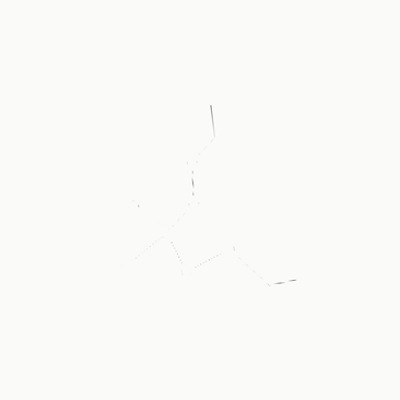 CCOOP(=O)(Cl)OOCC